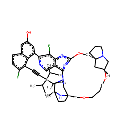 CC(C)[Si](C#Cc1c(F)ccc2cc(O)cc(-c3ncc4c5nc(nc4c3F)OC[C@]34CCCN3C[C@@H](C4)OCCCOC[C@]34CC[C@H](CN5C3)N4)c12)(C(C)C)C(C)C